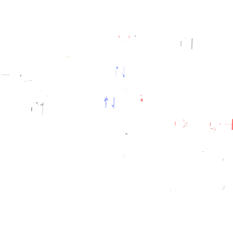 CCCC(=O)n1c(CF)c(CCC(C)C)n(Cc2ccc(-c3ccccc3C(=O)O)cc2)c1=O